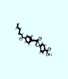 CCCCCC(=O)c1ccc(C(=O)Oc2ccc(C(=O)O)cc2)cc1